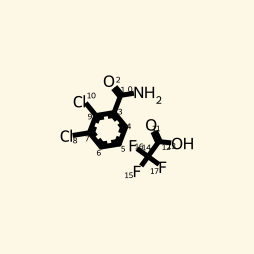 NC(=O)c1cccc(Cl)c1Cl.O=C(O)C(F)(F)F